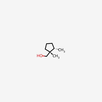 C[C@H]1CCC[C@@]1(C)CO